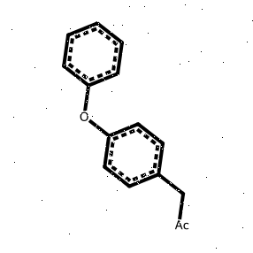 CC(=O)Cc1ccc(Oc2ccccc2)cc1